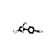 C#Cc1ccc(-c2nc(C(F)(F)F)cn2C(C)C)cc1